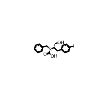 O=C(O)N(Cc1ccccc1)[C@H](CO)Cc1ccc(I)cc1